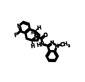 Cn1nc(NC(=O)N2[C@H]3CC[C@@H]2c2ccnc(F)c2C3)c2ccccc21